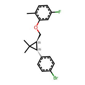 Cc1ccc(F)cc1OC[C@H]1[C@H](c2ccc(Br)cc2)C1(C)C